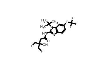 CC(C)(C)n1c(NC(=O)CC(O)(CF)CF)nc2ccc(OC(F)(F)F)cc21